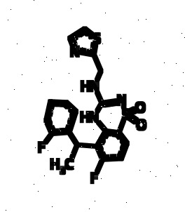 CC(c1ccccc1F)c1c(F)ccc2c1NC(NCc1nccs1)=NS2(=O)=O